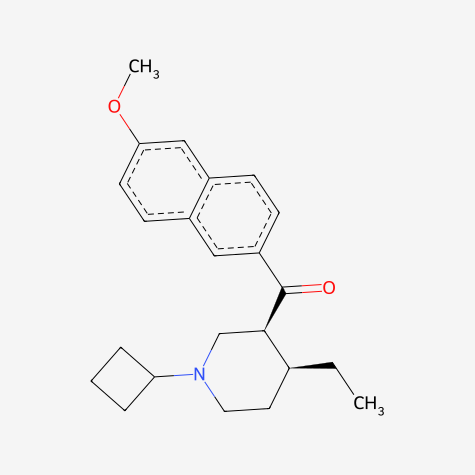 CC[C@H]1CCN(C2CCC2)C[C@H]1C(=O)c1ccc2cc(OC)ccc2c1